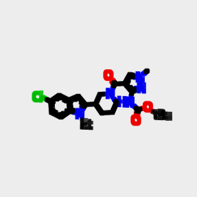 CCn1c(C2CCCN(C(=O)c3cn(C)nc3NC(=O)OC(C)(C)C)C2)cc2cc(Cl)ccc21